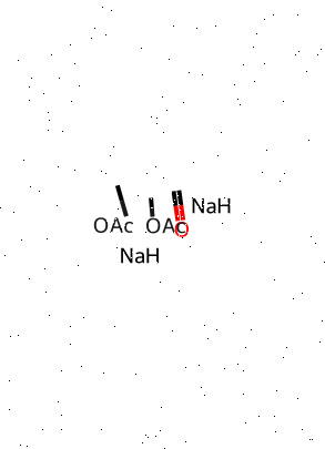 C=O.COC(C)=O.COC(C)=O.[NaH].[NaH]